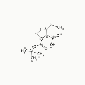 CCC1CCN(C(=O)OC(C)(C)C)C1C(=O)O